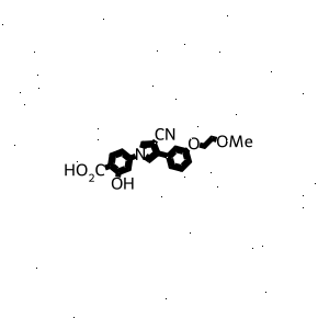 COCCOc1cccc(-c2cn(-c3ccc(C(=O)O)c(O)c3)cc2C#N)c1